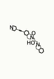 O=C1c2ccc(C#Cc3ccncc3)cc2CCN1C[C@H](O)CN1CCc2ccccc2C1